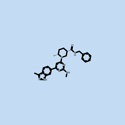 CNc1nc(-c2ccc3c(C)n[nH]c3c2)cc(N2C[C@@H](C(=O)NCc3ccccc3)CC[C@H]2C)n1